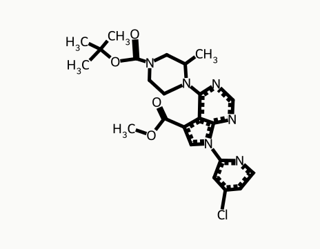 COC(=O)c1cn(-c2cc(Cl)ccn2)c2ncnc(N3CCN(C(=O)OC(C)(C)C)CC3C)c12